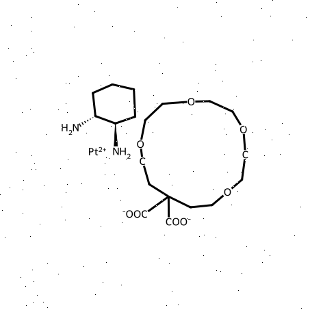 N[C@@H]1CCCC[C@H]1N.O=C([O-])C1(C(=O)[O-])CCOCCOCCOCCOCC1.[Pt+2]